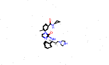 Cc1ccc(C(=O)NC2CC2)cc1-n1ccnc(N[C@@H](c2ccccc2)[C@@H](C)CN2CCNCC2)c1=O